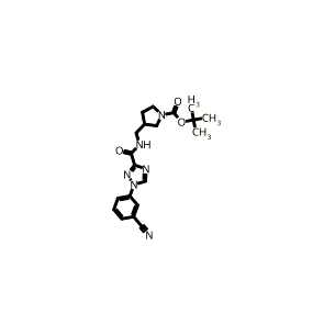 CC(C)(C)OC(=O)N1CCC(CNC(=O)c2ncn(-c3cccc(C#N)c3)n2)C1